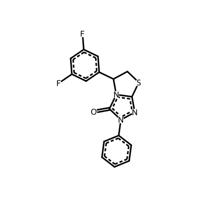 O=c1n(-c2ccccc2)nc2n1C(c1cc(F)cc(F)c1)CS2